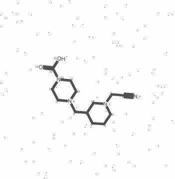 N#CCN1CCCC(CN2CCN(C(=O)O)CC2)C1